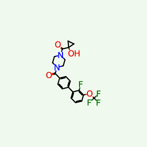 O=C(c1ccc(-c2cccc(OC(F)(F)F)c2F)cc1)N1CCN(C(=O)C2(O)CC2)CC1